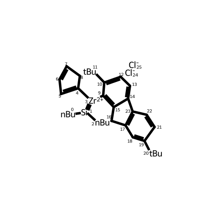 CCCC[Si](CCCC)=[Zr+2]([C]1=CC=CC1)[c]1c(C(C)(C)C)ccc2c1Cc1cc(C(C)(C)C)ccc1-2.[Cl-].[Cl-]